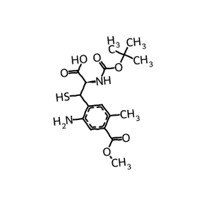 COC(=O)c1cc(N)c(C(S)[C@H](NC(=O)OC(C)(C)C)C(=O)O)cc1C